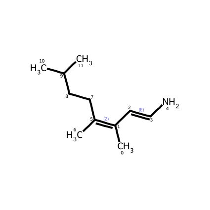 CC(/C=C/N)=C(\C)CCC(C)C